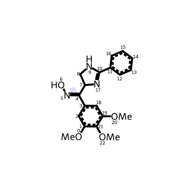 COc1cc(/C(=N/O)C2CNC(c3ccccc3)=N2)cc(OC)c1OC